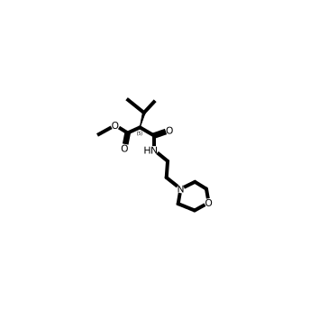 COC(=O)[C@H](C(=O)NCCN1CCOCC1)C(C)C